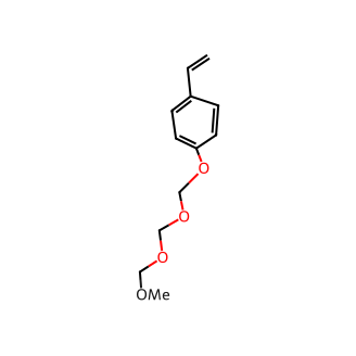 C=Cc1ccc(OCOCOCOC)cc1